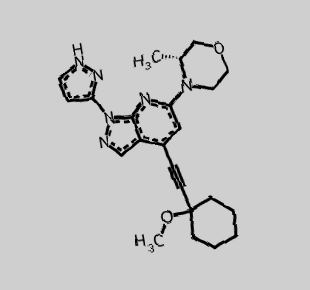 COC1(C#Cc2cc(N3CCOC[C@H]3C)nc3c2cnn3-c2cc[nH]n2)CCCCC1